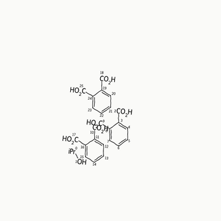 CC(C)O.O=C(O)c1ccccc1C(=O)O.O=C(O)c1ccccc1C(=O)O.O=C(O)c1ccccc1C(=O)O